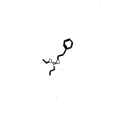 CCCP(OCC)OCCc1ccccc1